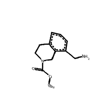 CC(C)(C)OC(=O)N1CCc2cccc(CN)c2C1